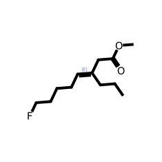 CCC/C(=C\CCCCF)CC(=O)OC